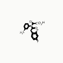 CCC(C(=O)O)N(C(=O)Cc1ccc(F)cc1F)c1cccc(C)c1